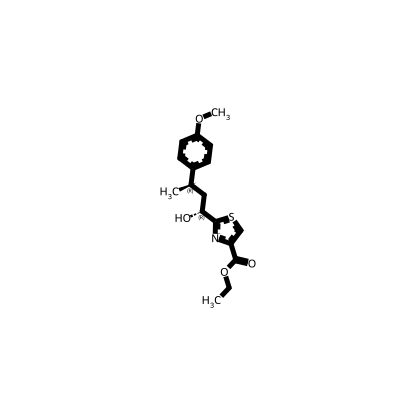 CCOC(=O)c1csc([C@H](O)C[C@@H](C)c2ccc(OC)cc2)n1